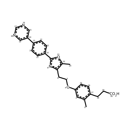 Cc1cc(OCCc2nc(-c3ccc(-c4cncnc4)cc3)oc2C)ccc1CCC(=O)O